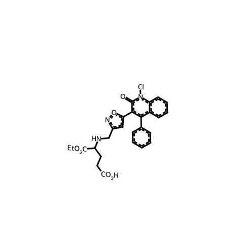 CCOC(=O)C(CCC(=O)O)NCc1cc(-c2c(-c3ccccc3)c3ccccc3n(Cl)c2=O)on1